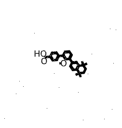 COc1c(-c2ccc(C(=O)O)cc2)cccc1-c1ccc2c(c1)C(C)(C)CCC2(C)C